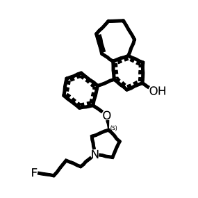 Oc1cc2c(c(-c3ccccc3O[C@H]3CCN(CCCF)C3)c1)C=CCCC2